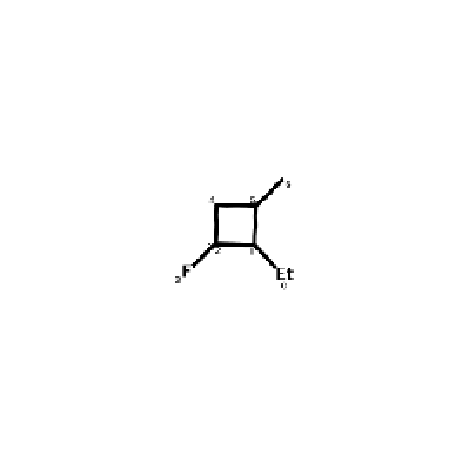 [CH2]CC1[C](F)CC1C